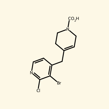 O=C(O)N1CC=C(Cc2ccnc(Cl)c2Br)CC1